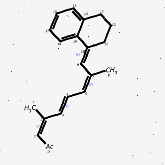 CC(=O)\C=C(C)/C=C/C=C(C)\C=C1/CCCc2ccccc21